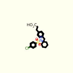 O=C(O)CCc1ccc(CC2(NS(=O)(=O)c3ccc(Cl)cc3)CCCCC2)cc1